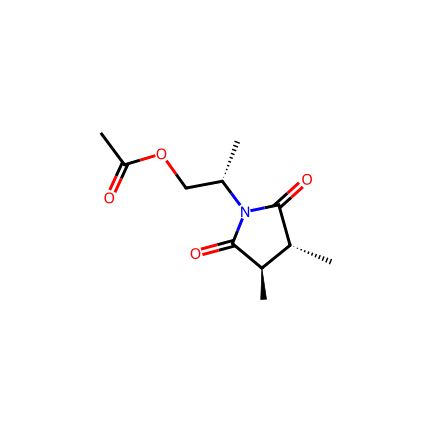 CC(=O)OC[C@H](C)N1C(=O)[C@H](C)[C@@H](C)C1=O